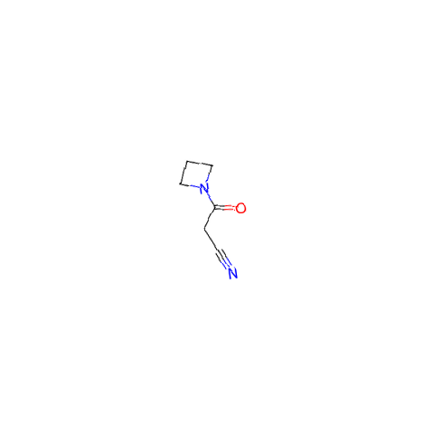 N#CCC(=O)N1CCC1